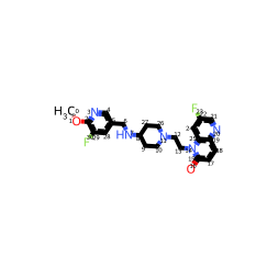 COc1ncc(CNC2CCN(CCn3c(=O)ccc4ncc(F)cc43)CC2)cc1F